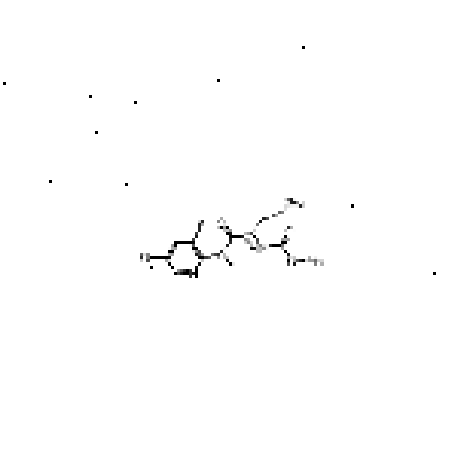 CN(C(=O)[C@H](COC(C)(C)C)NC(=O)OC(C)(C)C)c1ncc(Cl)cc1F